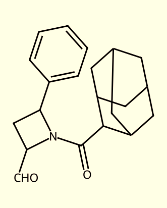 O=CC1CC(c2ccccc2)N1C(=O)C1C2CC3CC(C2)CC1C3